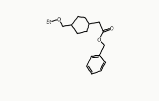 CCOCC1CCC(CC(=O)OCc2ccccc2)CC1